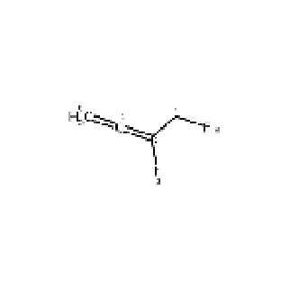 C=C=C(F)CF